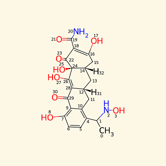 CC(NO)c1ccc(O)c2c1C[C@H]1C[C@H]3CC(O)=C(C(N)=O)C(=O)[C@@]3(O)C(O)=C1C2=O